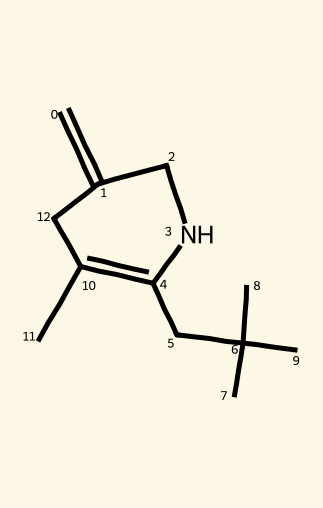 C=C1CNC(CC(C)(C)C)=C(C)C1